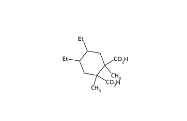 CCC1CC(C)(C(=O)O)C(C)(C(=O)O)CC1CC